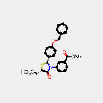 COC(=O)c1cccc(N2C(=O)[C@H](CC(=O)O)S[C@H]2c2ccc(OCc3ccccc3)cc2)c1